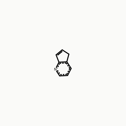 C1=Cc2ncccc2C1